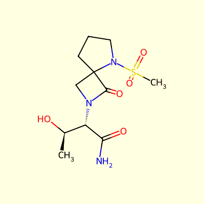 C[C@@H](O)[C@@H](C(N)=O)N1CC2(CCCN2S(C)(=O)=O)C1=O